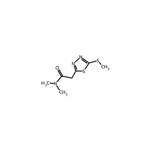 CSc1nnc(CC(=O)N(C)C)s1